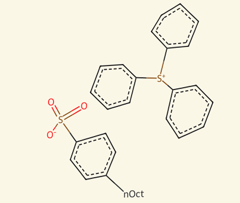 CCCCCCCCc1ccc(S(=O)(=O)[O-])cc1.c1ccc([S+](c2ccccc2)c2ccccc2)cc1